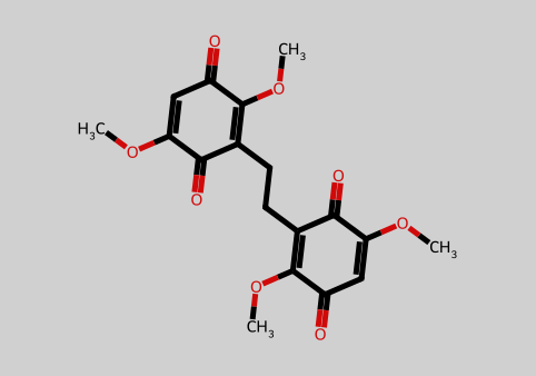 COC1=CC(=O)C(OC)=C(CCC2=C(OC)C(=O)C=C(OC)C2=O)C1=O